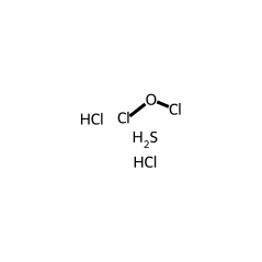 Cl.Cl.ClOCl.S